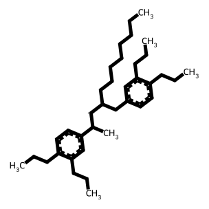 CCCCCCCCC([CH]C(C)c1ccc(CCC)c(CCC)c1)Cc1ccc(CCC)c(CCC)c1